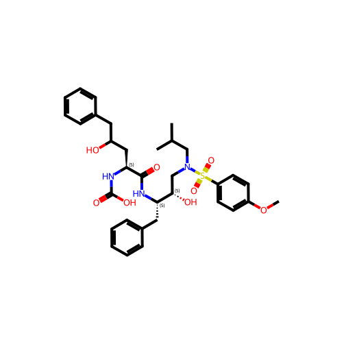 COc1ccc(S(=O)(=O)N(CC(C)C)C[C@H](O)[C@H](Cc2ccccc2)NC(=O)[C@H](CC(O)Cc2ccccc2)NC(=O)O)cc1